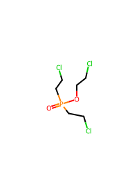 O=P(CCCl)(CCCl)OCCCl